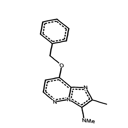 CNc1c(C)nc2c(OCc3ccccc3)ccnn12